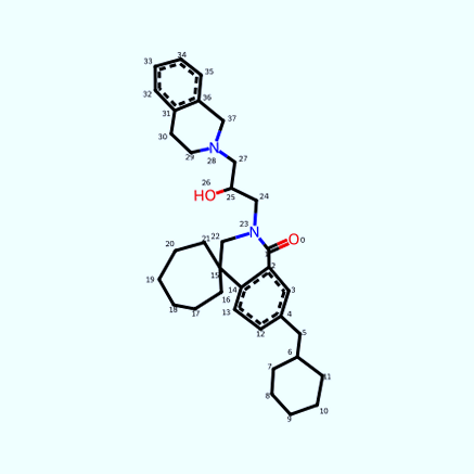 O=C1c2cc(CC3CCCCC3)ccc2C2(CCCCCC2)CN1CC(O)CN1CCc2ccccc2C1